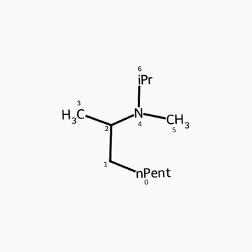 CCCCCCC(C)N(C)C(C)C